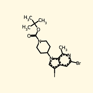 Cc1nc(Br)cc2c(I)cn(C3CCN(C(=O)OC(C)(C)C)CC3)c12